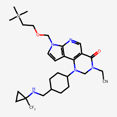 C[Si](C)(C)CCOCn1ccc2c3c(cnc21)C(=O)N(CC#N)CN3C1CCC(CNC2(C(F)(F)F)CC2)CC1